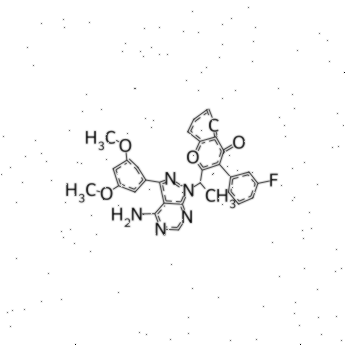 COc1cc(OC)cc(-c2nn(C(C)c3oc4ccccc4c(=O)c3-c3cccc(F)c3)c3ncnc(N)c23)c1